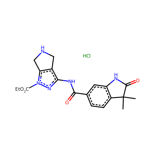 CCOC(=O)n1nc(NC(=O)c2ccc3c(c2)NC(=O)C3(C)C)c2c1CNC2.Cl